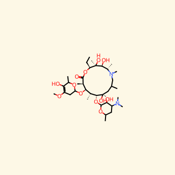 CC[C@@H]1OC(=O)[C@H](C)[C@H](OC2CC(OC)=C(O)C(C)O2)[C@@H](C)[C@@H](OC2OC(C)CC(N(C)C)C2O)[C@](C)(O)CC(C)CN(C)[C@@H](C)[C@H](O)[C@]1(C)O